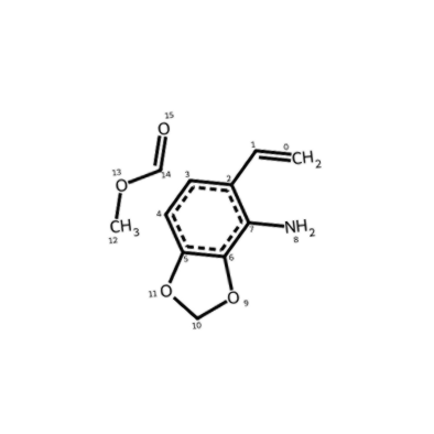 C=Cc1ccc2c(c1N)OCO2.COC=O